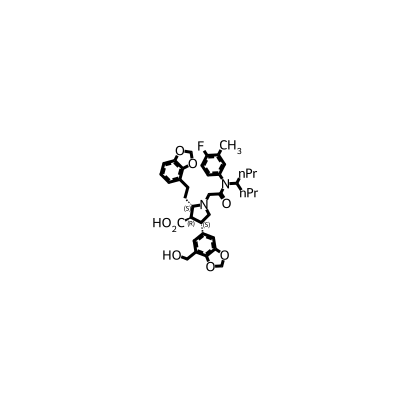 CCCC(CCC)N(C(=O)CN1C[C@H](c2cc(CO)c3c(c2)OCO3)[C@@H](C(=O)O)[C@@H]1CCc1cccc2c1OCO2)c1ccc(F)c(C)c1